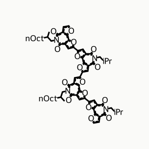 CCCCCCCCC(C)Cn1c(=O)c2ccoc2c2oc(-c3cc4c(=O)n(CC(C)C)c(=O)c5cc(-c6cc7c(=O)n(CC(C)CCCCCCCC)c(=O)c8cc(-c9cc%10c(=O)n(CC(C)C)c(=O)c%11ccoc%11c%10o9)oc8c7o6)oc5c4o3)cc2c1=O